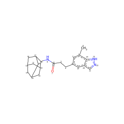 Cc1cc(C[CH]C(=O)NC2C3CC4CC(C3)CC2C4)cc2cn[nH]c12